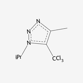 Cc1nnn(C(C)C)c1C(Cl)(Cl)Cl